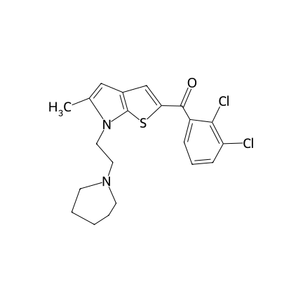 Cc1cc2cc(C(=O)c3cccc(Cl)c3Cl)sc2n1CCN1CCCCC1